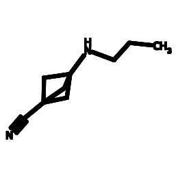 CCCNC12CC(C#N)(C1)C2